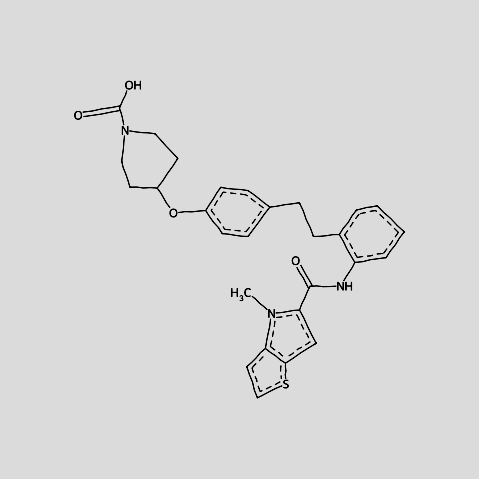 Cn1c(C(=O)Nc2ccccc2CCc2ccc(OC3CCN(C(=O)O)CC3)cc2)cc2sccc21